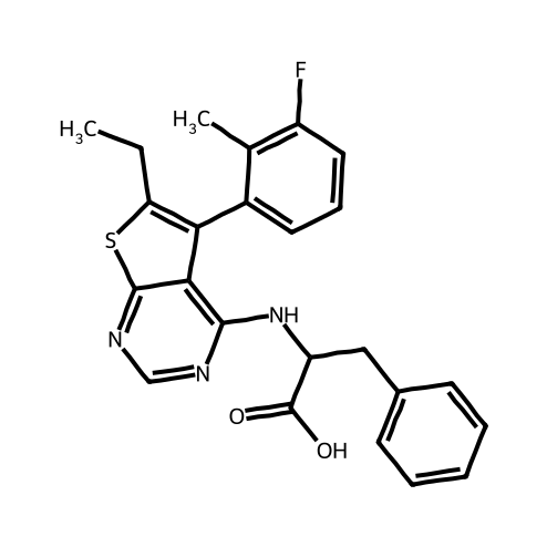 CCc1sc2ncnc(NC(Cc3ccccc3)C(=O)O)c2c1-c1cccc(F)c1C